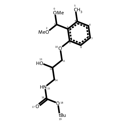 COC(OC)c1c(C)cccc1OCC(O)CNC(=O)OC(C)(C)C